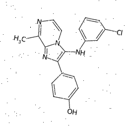 Cc1nccn2c(Nc3cccc(Cl)c3)c(-c3ccc(O)cc3)nc12